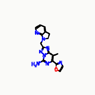 Cc1c(-c2ncco2)nc(N)n2nc(CN3CCc4cccnc43)nc12